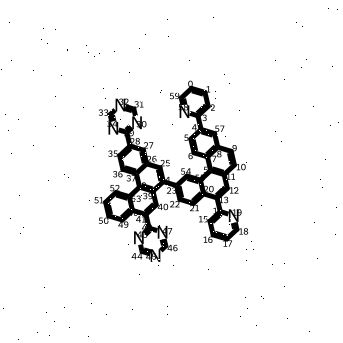 c1ccc(-c2ccc3c(ccc4cc(-c5ccccn5)c5ccc(-c6cc7cc(-c8ncncn8)ccc7c7c6cc(-c6ncncn6)c6ccccc67)cc5c43)c2)nc1